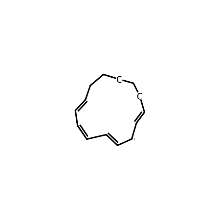 [CH]1/C=C/C=C\C=C\CCCCC/C=C/1